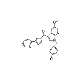 COc1cnc2c(c1)c(C(=O)c1cnn(-c3ccncn3)c1)cn2Cc1ccc(Cl)cc1